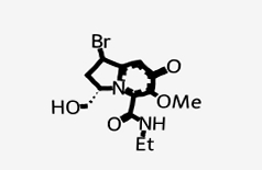 CCNC(=O)c1c(OC)c(=O)cc2n1[C@H](CO)CC2Br